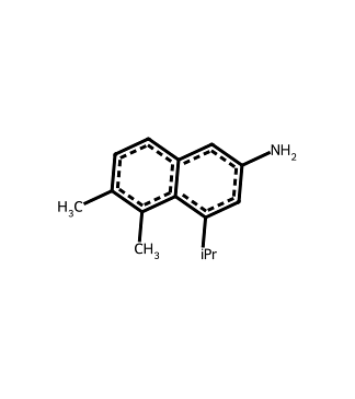 Cc1ccc2cc(N)cc(C(C)C)c2c1C